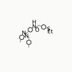 CCSc1ccc(CC(=O)Nc2ccc(-c3nc4ccc(C)cc4n3Cc3ccc(C)cc3)cc2)cc1